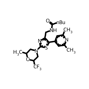 CCCCC(=O)NCc1nc(N2CC(C)OC(C(F)(F)F)C2)sc1-c1cc(C)nc(C)c1